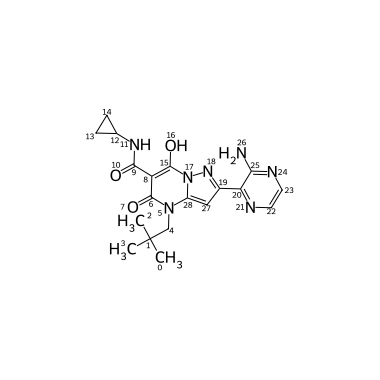 CC(C)(C)Cn1c(=O)c(C(=O)NC2CC2)c(O)n2nc(-c3nccnc3N)cc12